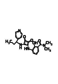 CCC(Nc1c(Nc2cccc(C(=O)N(C)C)c2O)c(=O)c1=O)c1ccncc1